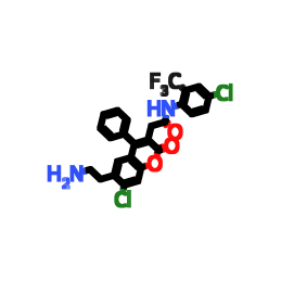 NCCc1cc2c(-c3ccccc3)c(CC(=O)Nc3ccc(Cl)cc3C(F)(F)F)c(=O)oc2cc1Cl